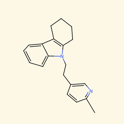 Cc1ccc(CCn2c3c(c4ccccc42)CCCC3)cn1